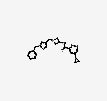 O=C(NC1CN(Cc2cnn(Cc3ccccc3)c2)C1)c1cc(C2CC2)cnn1